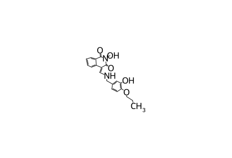 CCCOc1ccc(CNC=C2C(=O)N(O)C(=O)c3ccccc32)cc1O